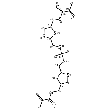 C=C(C)C(=O)SCC1CSC(CSC(C)(C)SCC2SCC(CSC(=O)C(=C)C)S2)S1